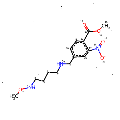 CONCCCCNCc1ccc(C(=O)OC)c([N+](=O)[O-])c1